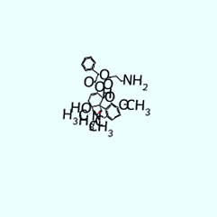 COc1ccc(C)c2c1O[C@H]1C(OC(=O)[C@H](OC(=O)CCN)c3ccccc3)=CC[C@@]3(O)[C@@H](C)N(C)CC[C@]213